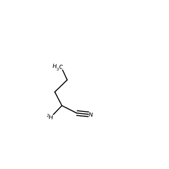 [2H]C(C#N)CCC